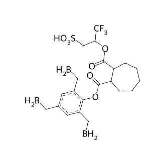 BCc1cc(CB)c(OC(=O)C2CCCCCC2C(=O)OC(CS(=O)(=O)O)C(F)(F)F)c(CB)c1